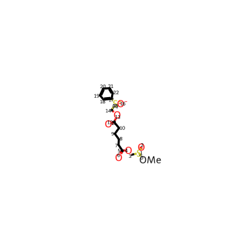 COS(=O)COC(=O)CCCCC(=O)OC[S@@+]([O-])c1ccccc1